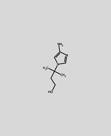 CC(C)(CCO)n1cnc(N)c1